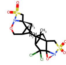 CC1(C)C2CON3[C@]1(CC2C1C[C@@]24CS(=O)(=O)[N@@]5OC52C(Cl)(Cl)C1C4(C)C)CS3(=O)=O